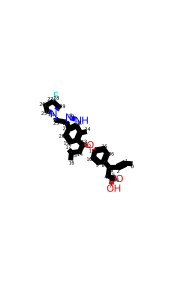 CC#CC(CC(=O)O)c1ccc(OC(CC(C)C)c2ccc3c(CN4CCC(F)C4)n[nH]c3c2C)cc1